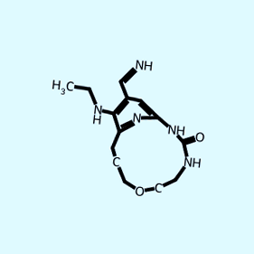 CCNc1c(C=N)cc2nc1CCCOCCNC(=O)N2